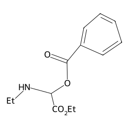 CCNC(OC(=O)c1ccccc1)C(=O)OCC